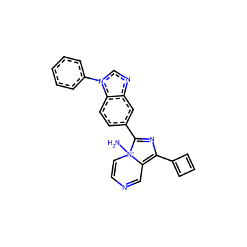 N[N+]12C=CN=CC1=C(C1=CC=C1)N=C2c1ccc2c(c1)ncn2-c1ccccc1